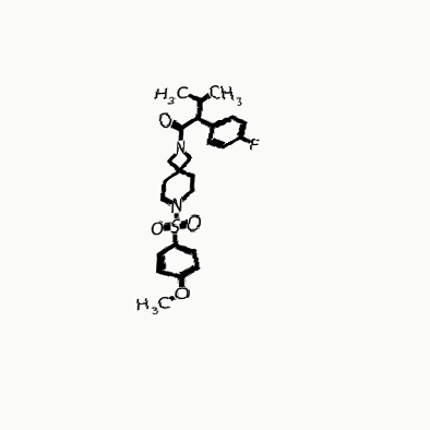 COc1ccc(S(=O)(=O)N2CCC3(CC2)CN(C(=O)C(c2ccc(F)cc2)C(C)C)C3)cc1